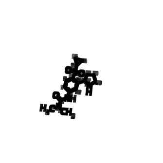 CN(C)C(=O)Nc1ccc(S(=O)(=O)C2CC2)c([C@H]2CCCN2)c1